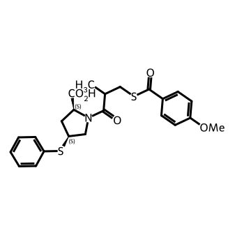 COc1ccc(C(=O)SCC(C)C(=O)N2C[C@@H](Sc3ccccc3)C[C@H]2C(=O)O)cc1